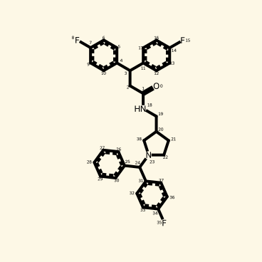 O=C(CC(c1ccc(F)cc1)c1ccc(F)cc1)NCC1CCN(C(c2ccccc2)c2ccc(F)cc2)C1